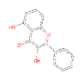 O=c1c(O)c(-c2ccccc2)oc2cccc(O)c12